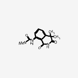 CNC(=O)Nc1cccc2c1C(=O)NC(=O)C2(C)C